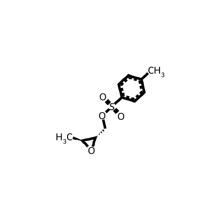 Cc1ccc(S(=O)(=O)OC[C@@H]2O[C@H]2C)cc1